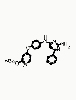 CCCCOc1cc(Oc2ccc(Nc3cc(-c4ccccc4)nc(N)n3)cc2)ccn1